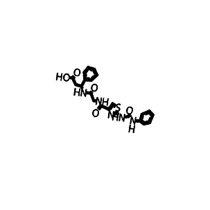 O=C(O)CC(NC(=O)CNC(=O)c1csc(NC(=O)Nc2ccccc2)n1)c1ccccc1